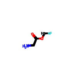 NCC(=O)OBF